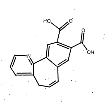 O=C(O)c1cc2c(cc1C(=O)O)-c1ncccc1CC=C2